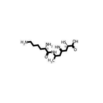 CC(CC(=N)C[C@H](S)C(=O)O)NC(=O)[C@@H](N)CCCCN